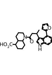 CC(CC(=O)N1CCCC2C(C(=O)O)CCCC21)c1c[nH]c2cccc(-c3ccco3)c12